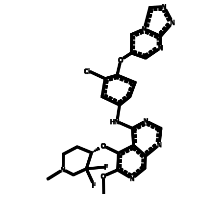 COc1ncc2ncnc(Nc3ccc(Oc4cnc5nncn5c4)c(Cl)c3)c2c1O[C@H]1CCN(C)CC1(F)F